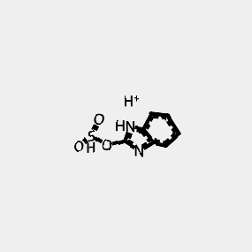 O=[SH](=O)Oc1nc2ccccc2[nH]1.[H+]